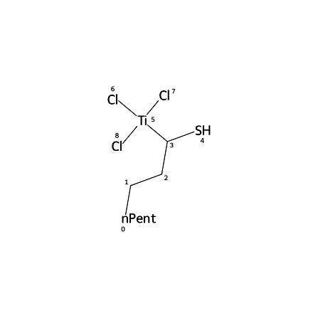 CCCCCCC[CH](S)[Ti]([Cl])([Cl])[Cl]